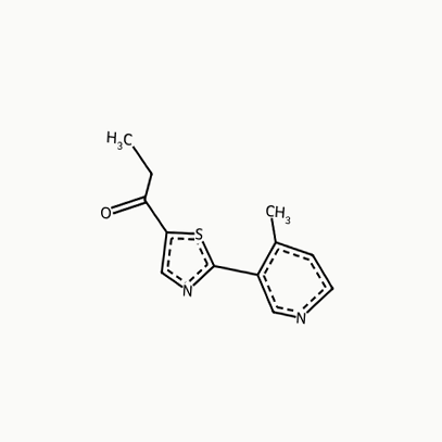 CCC(=O)c1cnc(-c2cnccc2C)s1